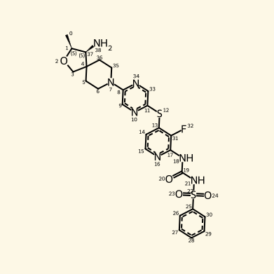 C[C@@H]1OCC2(CCN(c3cnc(Sc4ccnc(NC(=O)NS(=O)(=O)c5ccccc5)c4F)cn3)CC2)[C@@H]1N